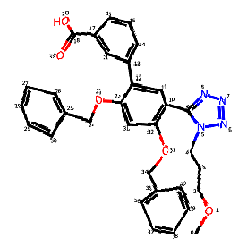 COCCCn1nnnc1-c1cc(-c2cccc(C(=O)O)c2)c(OCc2ccccc2)cc1OCc1ccccc1